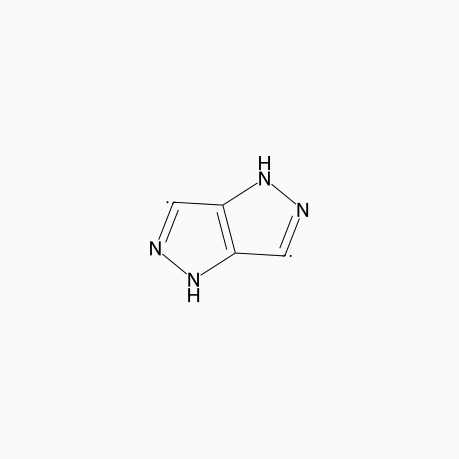 [c]1n[nH]c2[c]n[nH]c12